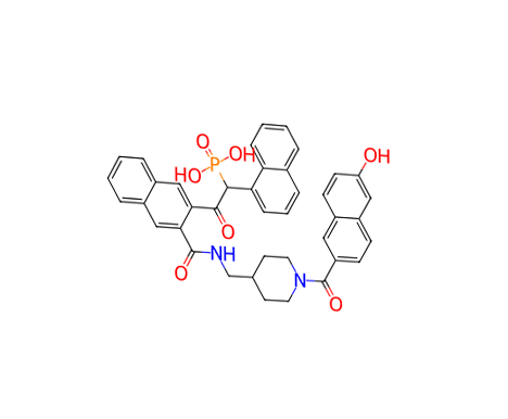 O=C(NCC1CCN(C(=O)c2ccc3cc(O)ccc3c2)CC1)c1cc2ccccc2cc1C(=O)C(c1cccc2ccccc12)P(=O)(O)O